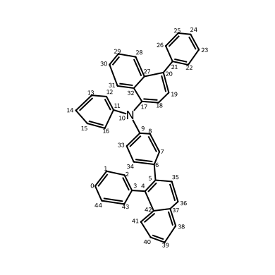 c1ccc(-c2c(-c3ccc(N(c4ccccc4)c4ccc(-c5ccccc5)c5ccccc45)cc3)ccc3ccccc23)cc1